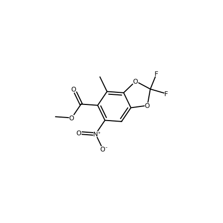 COC(=O)c1c([N+](=O)[O-])cc2c(c1C)OC(F)(F)O2